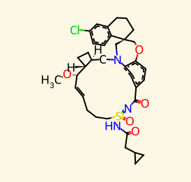 CO[C@H]1/C=C/CCC[S@@](=O)(NC(=O)CC2CC2)=NC(=O)c2ccc3c(c2)N(C[C@@H]2CC[C@H]21)C[C@@]1(CCCc2cc(Cl)ccc21)CO3